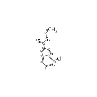 CCSC(=S)c1cc2cccc(Cl)c2s1